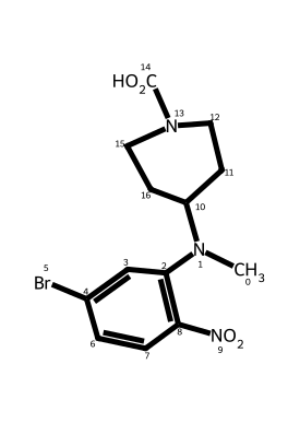 CN(c1cc(Br)ccc1[N+](=O)[O-])C1CCN(C(=O)O)CC1